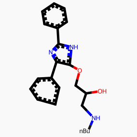 CCCCNCC(O)COc1[nH]c(-c2ccccc2)nc1-c1ccccc1